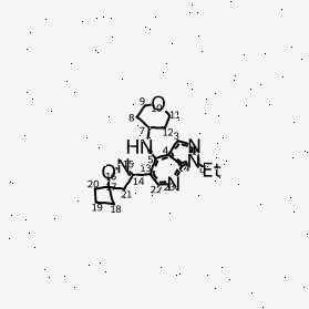 CCn1ncc2c(NC3CCOCC3)c(C3=NOC4(CCC4)C3)cnc21